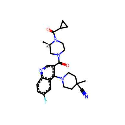 C[C@@H]1CN(C(=O)c2cnc3ccc(F)cc3c2N2CCC(C)(C#N)CC2)CCN1C(=O)C1CC1